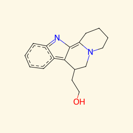 OCCC1CN2CCCCC2=C2N=c3ccccc3=C21